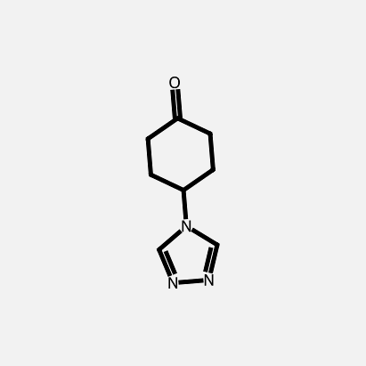 O=C1CCC(n2cnnc2)CC1